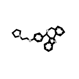 c1ccc2c(c1)COC(c1ccc(OCCN3CCCC3)cc1)c1c-2sc2ccccc12